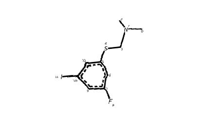 CN(C)CSc1cc(F)cc(I)c1